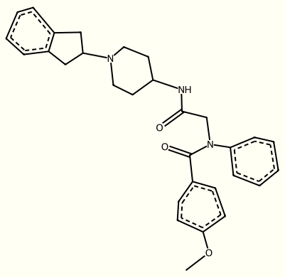 COc1ccc(C(=O)N(CC(=O)NC2CCN(C3Cc4ccccc4C3)CC2)c2ccccc2)cc1